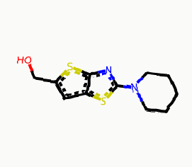 OCc1cc2sc(N3CCCCC3)nc2s1